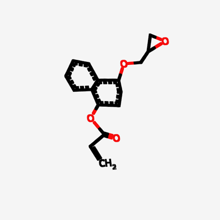 C=CC(=O)Oc1ccc(OCC2CO2)c2ccccc12